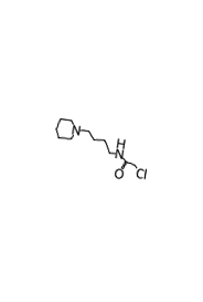 O=C(CCl)NCCCCN1CCCCC1